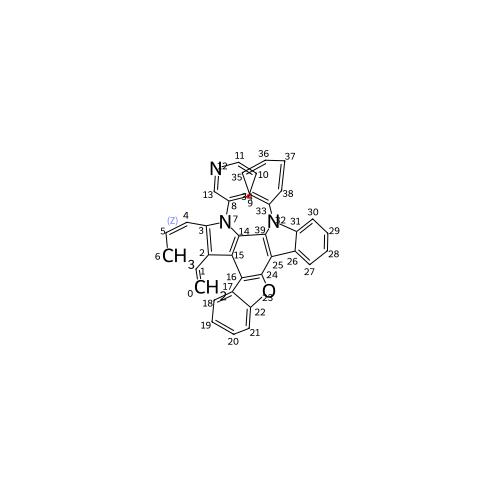 C=Cc1c(/C=C\C)n(-c2cccnc2)c2c1c1c3ccccc3oc1c1c3ccccc3n(-c3ccccc3)c12